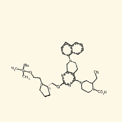 CC(C)(C)[Si](C)(C)OCCN1CCC[C@H]1COc1nc2c(c(N3CCN(C(=O)O)C(CC#N)C3)n1)CCN(c1cccc3ccccc13)C2